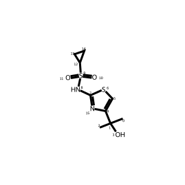 CC(C)(O)c1csc(NS(=O)(=O)C2CC2)n1